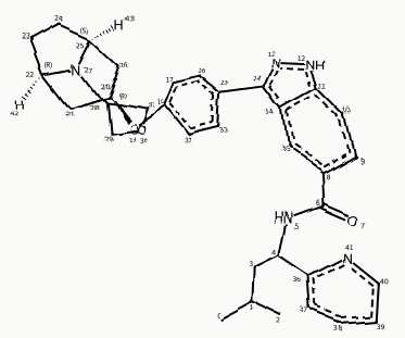 CC(C)CC(NC(=O)c1ccc2[nH]nc(-c3ccc(O[C@H]4C[C@H]5CC[C@@H](C4)N5C4COC4)cc3)c2c1)c1ccccn1